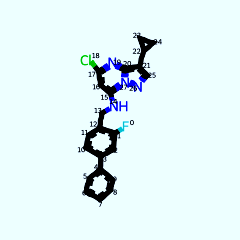 Fc1cc(-c2ccccc2)ccc1CNc1cc(Cl)nc2c(C3CC3)cnn12